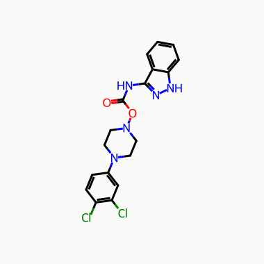 O=C(Nc1n[nH]c2ccccc12)ON1CCN(c2ccc(Cl)c(Cl)c2)CC1